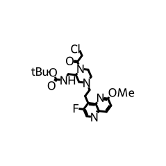 COc1ccc2ncc(F)c(CCN3CCN(C(=O)CCl)C(CNC(=O)OC(C)(C)C)C3)c2n1